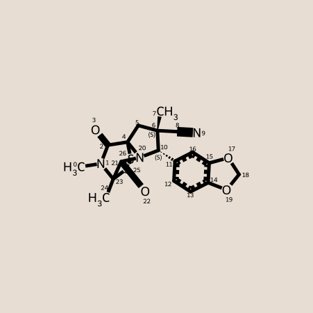 CN1C(=O)C23C[C@](C)(C#N)[C@H](c4ccc5c(c4)OCO5)N2C(=O)C1(C)SS3